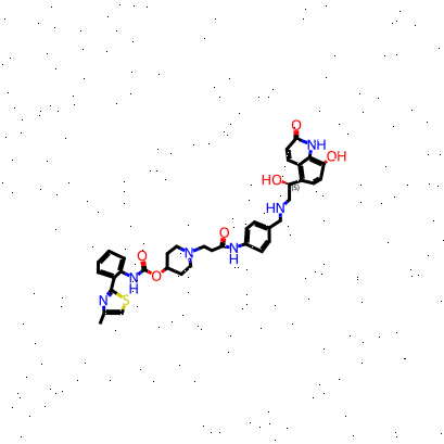 Cc1csc(-c2ccccc2NC(=O)OC2CCN(CCC(=O)Nc3ccc(CNC[C@@H](O)c4ccc(O)c5[nH]c(=O)ccc45)cc3)CC2)n1